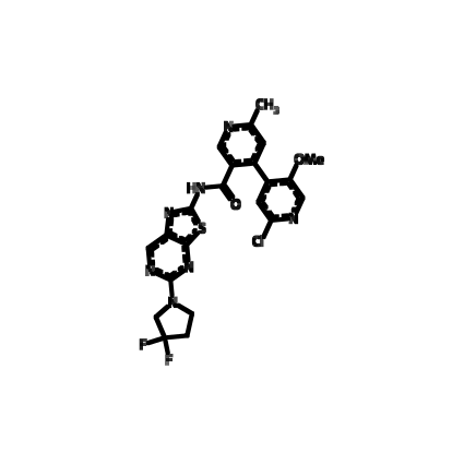 COc1cnc(Cl)cc1-c1cc(C)ncc1C(=O)Nc1nc2cnc(N3CCC(F)(F)C3)nc2s1